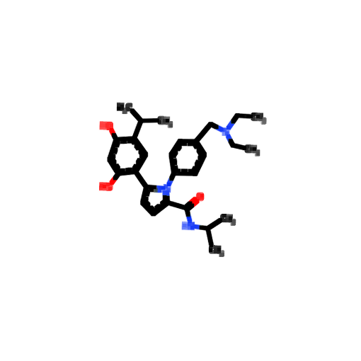 CCN(CC)Cc1ccc(-n2c(C(=O)NC(C)C)ccc2-c2cc(C(C)C)c(O)cc2O)cc1